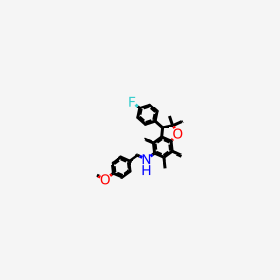 COc1ccc(CNc2c(C)c(C)c3c(c2C)C(c2ccc(F)cc2)C(C)(C)O3)cc1